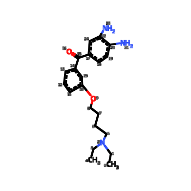 CCN(CC)CCCCOc1cccc(C(=O)c2ccc(N)c(N)c2)c1